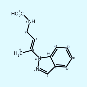 CC(=CCNC(=O)O)n1ncc2ccccc21